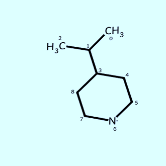 CC(C)C1CC[N]CC1